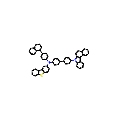 c1ccc2c(-c3ccc(N(c4ccc(-c5ccc(-n6c7ccccc7c7c8ccccc8ccc76)cc5)cc4)c4ccc5sc6ccccc6c5c4)cc3)cccc2c1